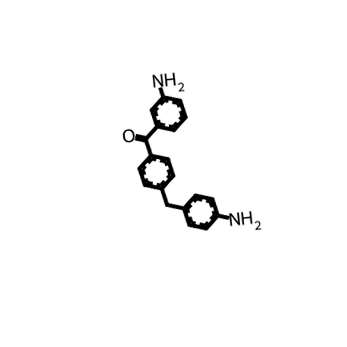 Nc1ccc(Cc2ccc(C(=O)c3cccc(N)c3)cc2)cc1